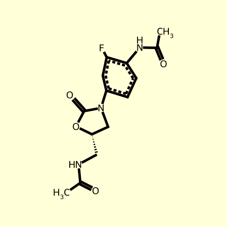 CC(=O)NC[C@H]1CN(c2ccc(NC(C)=O)c(F)c2)C(=O)O1